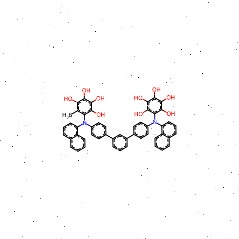 Bc1c(O)c(O)c(O)c(O)c1N(c1ccc(-c2cccc(-c3ccc(N(c4c(O)c(O)c(O)c(O)c4O)c4cccc5ccccc45)cc3)c2)cc1)c1cccc2ccccc12